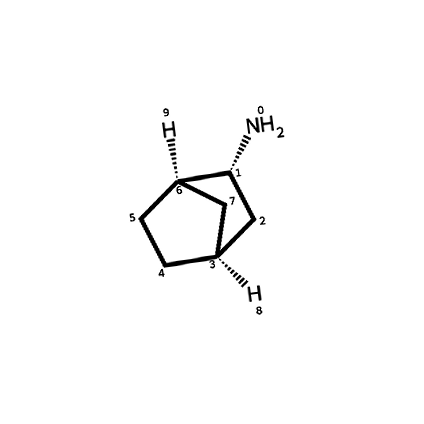 N[C@@H]1C[C@H]2CC[C@@H]1C2